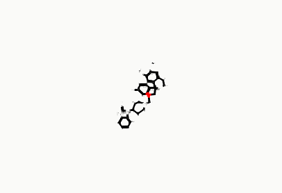 COc1cc2c(cc1OC)C(CCCN1CCC(n3c(=O)[nH]c4ccccc43)CC1)(c1ccc(F)cc1)OCC2